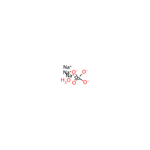 O.[Na+].[Na+].[Na+].[O]=[Sb]([O-])([O-])[O-]